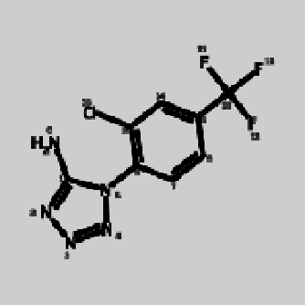 Nc1nnnn1-c1ccc(C(F)(F)F)cc1Cl